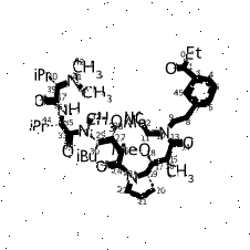 CCC(=O)c1cccc(CCN(CC#N)C(=O)[C@H](C)[C@@H](OC)[C@@H]2CCCN2C(=O)C[C@@H](OC)[C@H]([C@@H](C)CC)N(C)C(=O)[C@@H](NC(=O)[C@H](C(C)C)N(C)C)C(C)C)c1